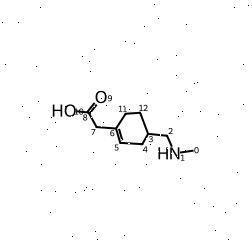 CNCC1CC=C(CC(=O)O)CC1